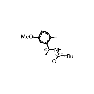 COc1ccc(F)c([C@H](C)N[S@+]([O-])C(C)(C)C)c1